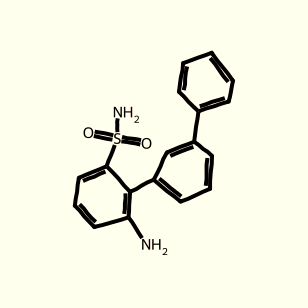 Nc1cccc(S(N)(=O)=O)c1-c1cccc(-c2ccccc2)c1